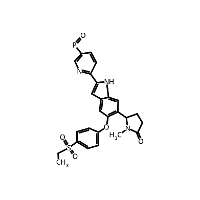 CCS(=O)(=O)c1ccc(Oc2cc3cc(-c4ccc(P=O)cn4)[nH]c3cc2C2CCC(=O)N2C)cc1